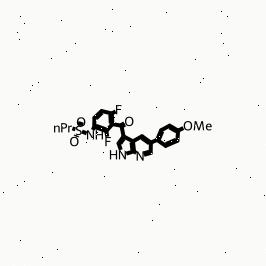 CCCS(=O)(=O)Nc1ccc(F)c(C(=O)c2c[nH]c3ncc(-c4ccc(OC)cc4)cc23)c1F